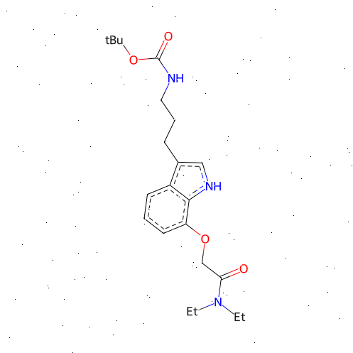 CCN(CC)C(=O)COc1cccc2c(CCCNC(=O)OC(C)(C)C)c[nH]c12